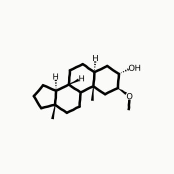 CO[C@H]1C[C@]2(C)C3CC[C@]4(C)CCC[C@H]4[C@@H]3CC[C@H]2C[C@@H]1O